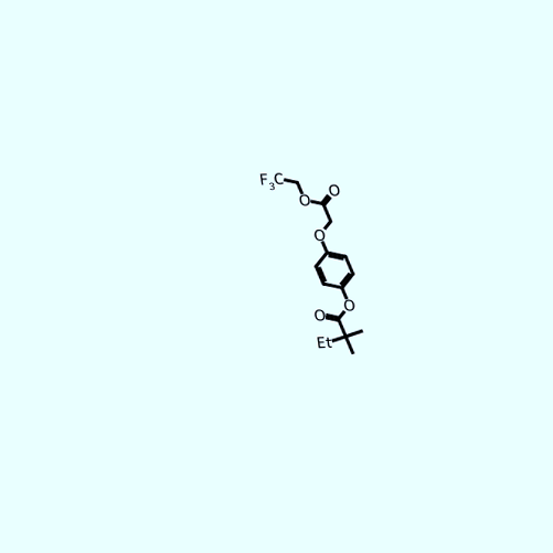 CCC(C)(C)C(=O)Oc1ccc(OCC(=O)OCC(F)(F)F)cc1